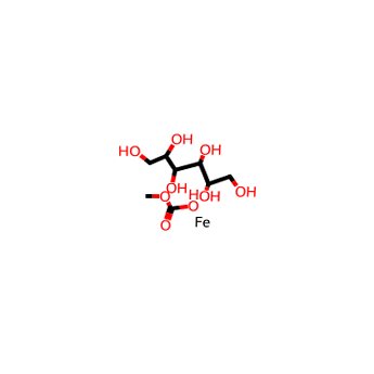 COC(=O)O.OCC(O)C(O)C(O)C(O)CO.[Fe]